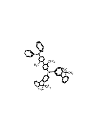 Cc1cc(N(c2ccccc2)c2ccccc2)ccc1-c1ccc(N(c2ccc3c(c2)-c2ccccc2C3(C)C)c2ccc3c(c2)-c2ccccc2C3(C)C)cc1C